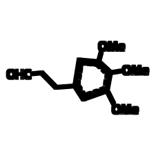 COc1cc(CCC=O)cc(OC)c1OC